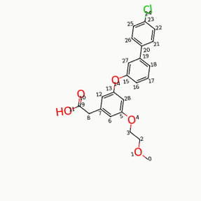 COCCOc1cc(CC(=O)O)cc(Oc2cccc(-c3ccc(Cl)cc3)c2)c1